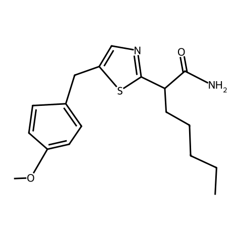 CCCCCC(C(N)=O)c1ncc(Cc2ccc(OC)cc2)s1